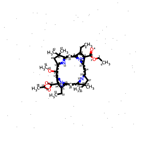 CCOC(=O)c1c(CC)c2cc3nc(c(OC)c4[nH]c(cc5nc(cc1[nH]2)CC5(C)C)c(CC)c4C1OC(C)O1)CC3(C)C